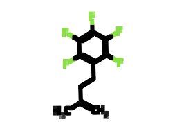 C=C(C)CCc1c(F)c(F)c(F)c(F)c1F